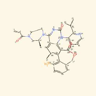 C=CC(=O)N1CCN(c2nc(=O)n(-c3c(C)ccnc3C(C)C)c3c4c(c(C)cc23)-c2c(P)cccc2COC4=O)[C@@H](C)C1